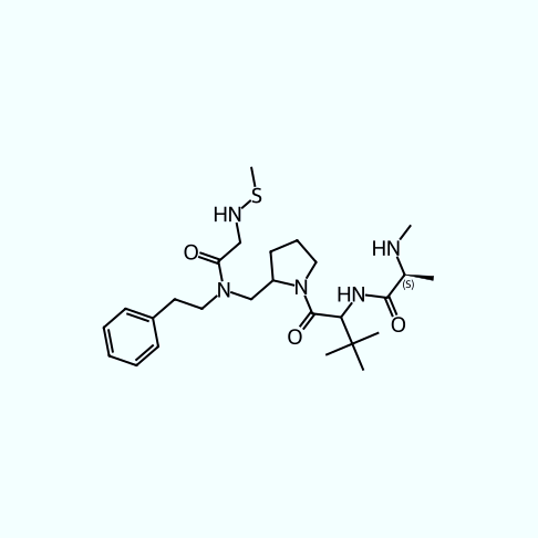 CN[C@@H](C)C(=O)NC(C(=O)N1CCCC1CN(CCc1ccccc1)C(=O)CNSC)C(C)(C)C